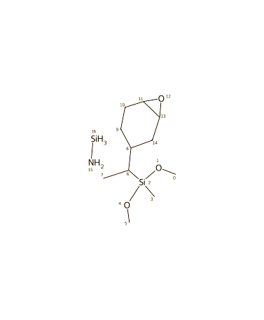 CO[Si](C)(OC)C(C)C1CCC2OC2C1.N[SiH3]